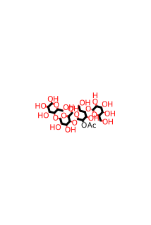 CC(=O)OC1[C@@H](O[C@@H]2C(CO)O[C@H](O[C@@H]3C(CO)O[C@H](O)C(O)[C@@H]3O)C(O)[C@@H]2O)OC(CO)[C@@H](O[C@H]2OC(CO)[C@@H](O)[C@@H](O)C2O)[C@H]1O